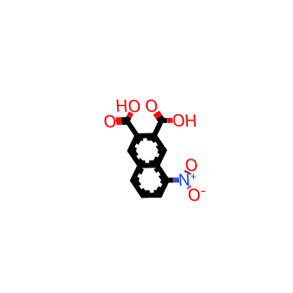 O=C(O)c1cc2cccc([N+](=O)[O-])c2cc1C(=O)O